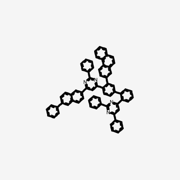 c1ccc(-c2ccc3cc(-c4cc(-c5ccc(-c6ccccc6-c6cc(-c7ccccc7)nc(-c7ccccc7)n6)cc5-c5ccc6c(ccc7ccccc76)c5)nc(-c5ccccc5)n4)ccc3c2)cc1